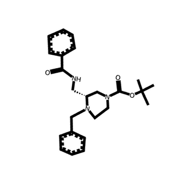 CC(C)(C)OC(=O)N1CCN(Cc2ccccc2)[C@H](CNC(=O)c2ccccc2)C1